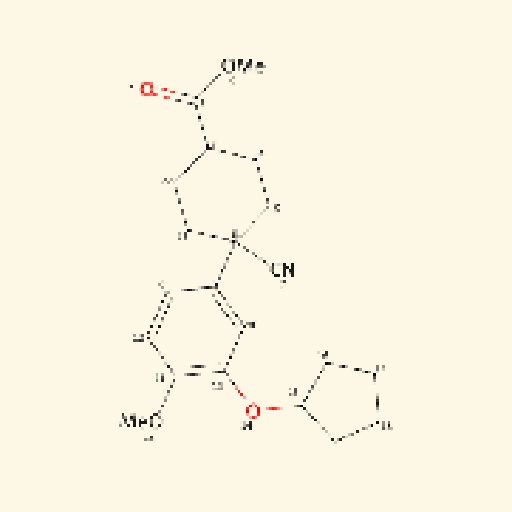 COC(=O)C1CCC(C#N)(c2ccc(OC)c(OC3CCCC3)c2)CC1